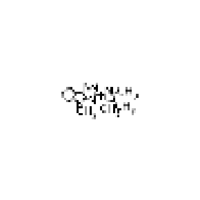 Cc1nn(-c2nnc3c4ccccc4n(C)c3n2)c(C)c1C